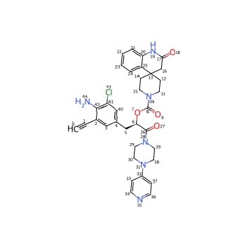 C#Cc1cc(C[C@@H](OC(=O)N2CCC3(CC2)CC(=O)Nc2ccccc23)C(=O)N2CCN(c3ccncc3)CC2)cc(Cl)c1N